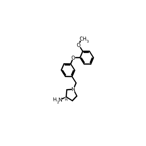 COc1ccccc1Oc1cccc(CN2CC[C@@H](N)C2)c1